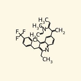 C=CN(C)/C(=C\C)C(=C)c1ccc2nc(CC)c(Cc3ccc(C(F)(F)F)cc3)c(Cl)c2c1